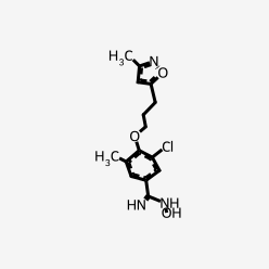 Cc1cc(CCCOc2c(C)cc(C(=N)NO)cc2Cl)on1